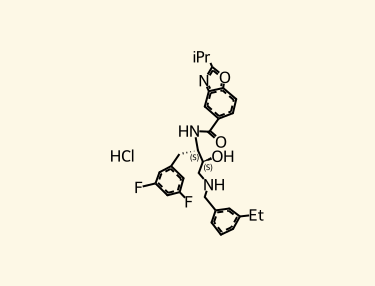 CCc1cccc(CNC[C@H](O)[C@H](Cc2cc(F)cc(F)c2)NC(=O)c2ccc3oc(C(C)C)nc3c2)c1.Cl